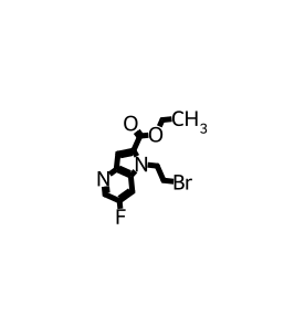 CCOC(=O)c1cc2ncc(F)cc2n1CCBr